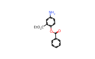 CCOC(=O)c1cc(N)ccc1OC(=O)c1ccccc1